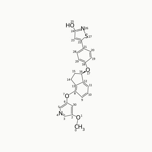 COc1cncc(Oc2cccc3c2CC[C@H]3Oc2ccc(-c3cc(O)ns3)cc2)c1